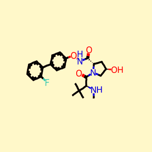 CN[C@H](C(=O)N1C[C@H](O)C[C@H]1C(=O)NOc1ccc(-c2ccccc2F)cc1)C(C)(C)C